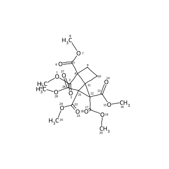 COC(=O)C1(C(=O)OC)CCC12C(C(=O)OC)(C(=O)OC)C2(C(=O)OC)C(=O)OC